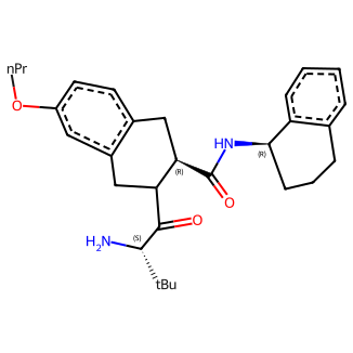 CCCOc1ccc2c(c1)CC(C(=O)[C@@H](N)C(C)(C)C)[C@H](C(=O)N[C@@H]1CCCc3ccccc31)C2